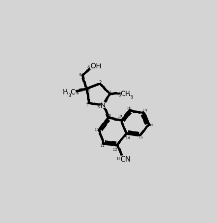 CC1CC(C)(CO)CN1c1ccc(C#N)c2ccccc12